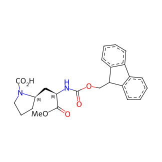 COC(=O)[C@@H](C[C@H]1CCCN1C(=O)O)NC(=O)OCC1c2ccccc2-c2ccccc21